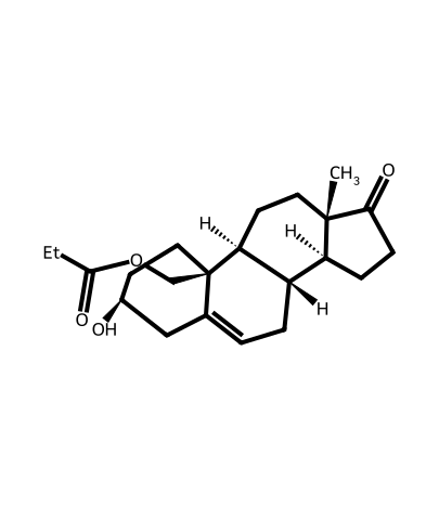 CCC(=O)OC[C@]12CC[C@H](O)CC1=CC[C@@H]1[C@@H]2CC[C@]2(C)C(=O)CC[C@@H]12